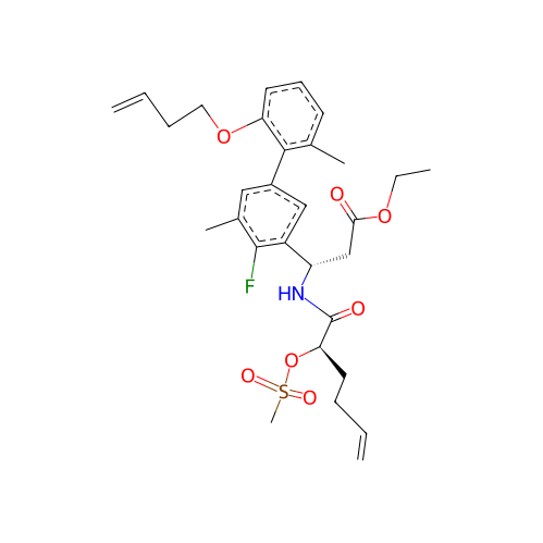 C=CCCOc1cccc(C)c1-c1cc(C)c(F)c([C@H](CC(=O)OCC)NC(=O)[C@@H](CCC=C)OS(C)(=O)=O)c1